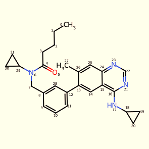 CCCCC(=O)N(Cc1cccc(-c2cc3c(NC4CC4)ncnc3cc2C)c1)C1CC1